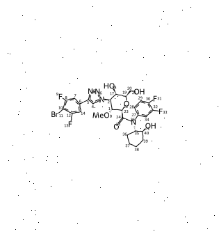 CO[C@@H]1[C@@H](n2cc(-c3cc(F)c(Br)c(F)c3)nn2)[C@@H](O)[C@@H](CO)O[C@H]1C(=O)N(c1ccc(F)c(F)c1)[C@H]1CCCC[C@@H]1O